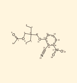 CCC(CC)(COC(C)=O)COc1cccc([N+](=O)[O-])c1C#N